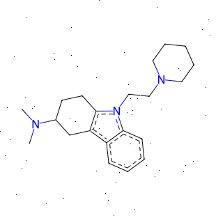 CN(C)C1CCc2c(c3ccccc3n2CCN2CCCCC2)C1